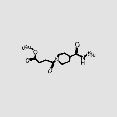 CC(C)(C)NC(=O)C1CCN(C(=O)CCC(=O)OC(C)(C)C)CC1